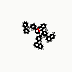 c1cc(-c2ccc(N(c3ccc(-c4cccc5ccccc45)cc3)c3cc(-c4cccc5ccccc45)ccc3-c3cccc4ccccc34)cc2)cc(-n2c3ccccc3c3ccccc32)c1